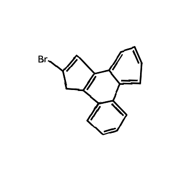 BrC1=Cc2c(c3ccccc3c3ccccc23)C1